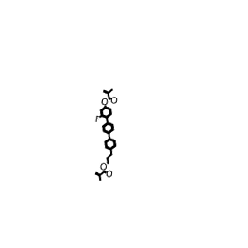 C=C(C)C(=O)OCCCc1ccc(-c2ccc(-c3ccc(OC(=O)C(=C)C)cc3F)cc2)cc1